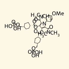 COc1ccc(-n2c(C(=O)N(C)C)c(OC(=O)[C@H]3CC[C@H](COP(=O)(O)O)CC3)c(OC(=O)[C@H]3CC[C@H](COP(=O)(O)O)CC3)c2C(=O)N(C)C)cc1